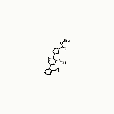 CC(C)(C)OC(=O)N1CC=C(c2ncc(-c3ccccc3C3CC3)cc2CO)C1